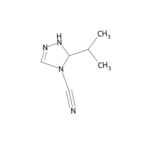 CC(C)C1NN=CN1C#N